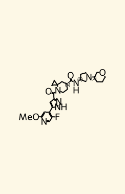 COc1cc(-c2cc(C(=O)N3CC[C@H](C(=O)N[C@@H]4CCN([C@H]5CCCOC5)C4)CC34CC4)n[nH]2)c(F)cn1